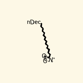 CCCCCCCCCCCCCCCCCCCCCC=CCCC(P(=O)=O)[N+](C)(C)C